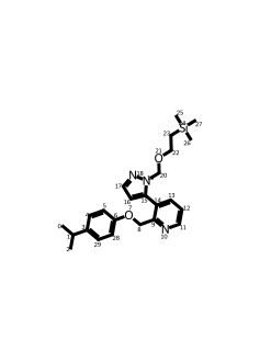 CC(C)c1ccc(OCc2ncccc2-c2ccnn2COCC[Si](C)(C)C)cc1